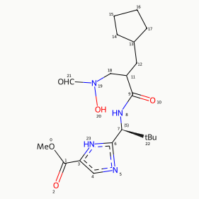 COC(=O)c1cnc([C@@H](NC(=O)C(CC2CCCC2)CN(O)C=O)C(C)(C)C)[nH]1